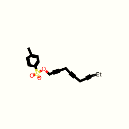 CCC#CCC#CCC#CCOS(=O)(=O)c1ccc(C)cc1